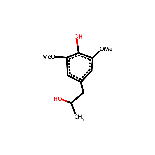 COc1cc(CC(C)O)cc(OC)c1O